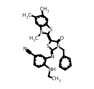 CCNc1ccc(C#N)cc1N=C1SC(=C2Sc3cc(C)c(C)cc3N2C)C(=O)N1Cc1ccccc1